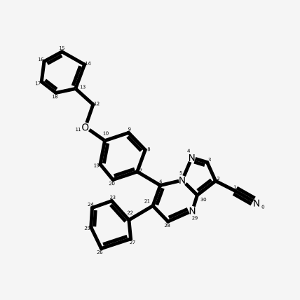 N#Cc1cnn2c(-c3ccc(OCc4ccccc4)cc3)c(-c3ccccc3)cnc12